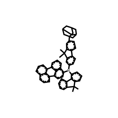 CC1(C)c2cc(N(c3ccc(-c4cccc5cccc(-c6ccccc6)c45)cc3)c3cccc4c3-c3ccccc3C4(C)C)ccc2-c2ccc(C34CC5CC(CC(C5)C3)C4)cc21